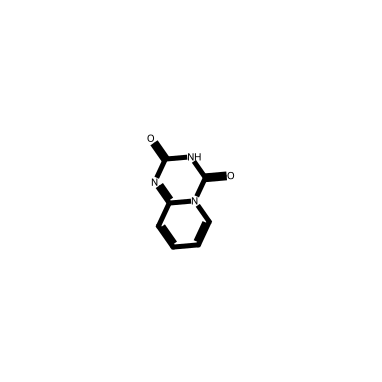 O=c1nc2ccccn2c(=O)[nH]1